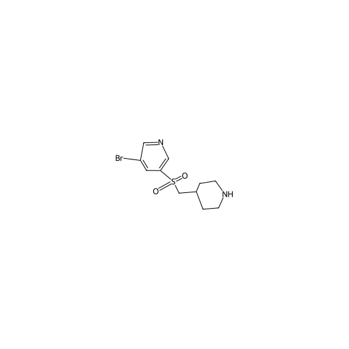 O=S(=O)(CC1CCNCC1)c1cncc(Br)c1